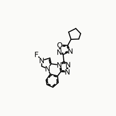 FN1C=C2N(C1)c1ccccc1-c1nnc(-c3noc(C4CCCC4)n3)n12